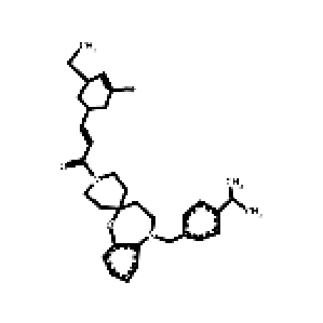 CCC1C=C(F)CC(/C=C/C(=O)N2CCC3(CC2)CCN(Cc2ccc(C(C)C)cc2)c2ccccc2O3)C1